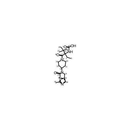 CCC(NC(=O)O)(C(=O)N1CCC(N2Cc3cnc(C)n3C2=O)CC1)C(C)(C)C